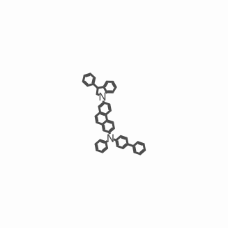 c1ccc(-c2ccc(N(c3ccccc3)c3ccc4c(ccc5cc(N6CC(c7ccccc7)c7ccccc76)ccc54)c3)cc2)cc1